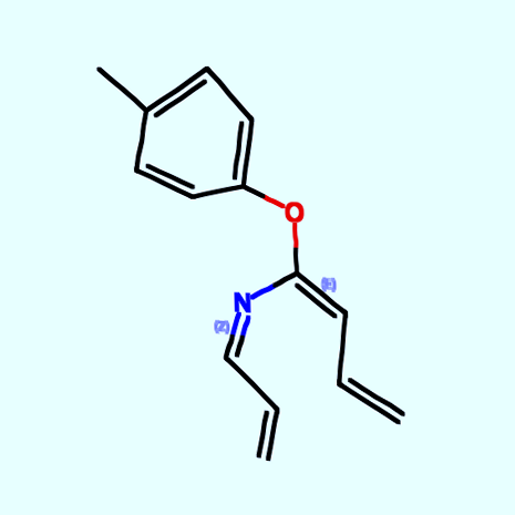 C=C/C=N\C(=C/C=C)Oc1ccc(C)cc1